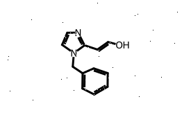 OC=Cc1nccn1Cc1ccccc1